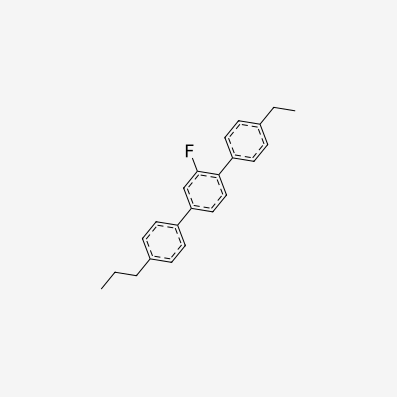 CCCc1ccc(-c2ccc(-c3ccc(CC)cc3)c(F)c2)cc1